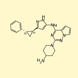 NC1CCN(c2nc(Nc3cc([C@H]4C[C@@H]4c4ccccc4)n[nH]3)c3cccn3n2)CC1